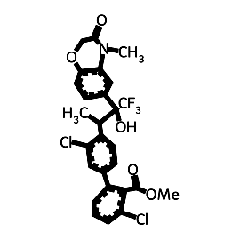 COC(=O)c1c(Cl)cccc1-c1ccc(C(C)C(O)(c2ccc3c(c2)N(C)C(=O)CO3)C(F)(F)F)c(Cl)c1